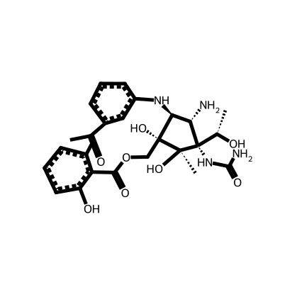 CC(=O)c1cccc(N[C@H]2[C@H](N)[C@@](NC(N)=O)([C@H](C)O)[C@@](C)(O)[C@@]2(O)COC(=O)c2c(C)cccc2O)c1